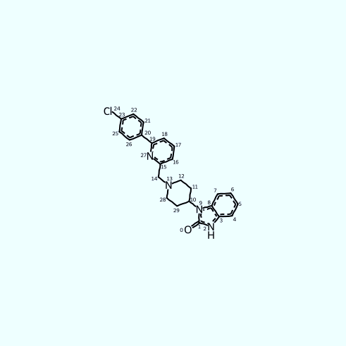 O=c1[nH]c2ccccc2n1C1CCN(Cc2cccc(-c3ccc(Cl)cc3)n2)CC1